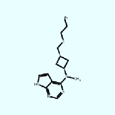 CC(C)CCSC[C@H]1C[C@@H](N(C)c2ncnc3[nH]ccc23)C1